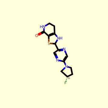 O=C1NCCC2=C1SC(c1cnc(N3CC[C@H](F)C3)cn1)N2